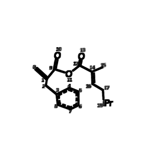 C=C(Cc1ccccc1)C(=O)OC(=O)C(C)=CCC(C)C